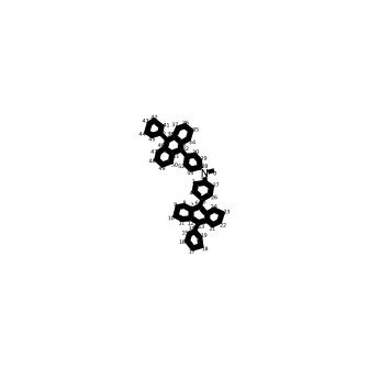 CN(c1ccc(-c2c3ccccc3c(-c3ccccc3)c3ccccc23)cc1)c1ccc(-c2c3ccccc3c(-c3ccccc3)c3ccccc23)cc1